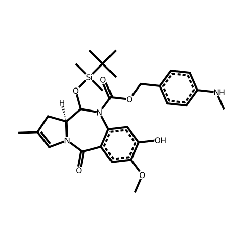 CNc1ccc(COC(=O)N2c3cc(O)c(OC)cc3C(=O)N3C=C(C)C[C@H]3C2O[Si](C)(C)C(C)(C)C)cc1